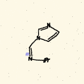 CC(C)/N=C\n1ccnc1